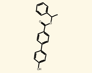 CC(OC(=O)c1ccc(-c2ccc(O)cc2)cc1)c1ccccc1